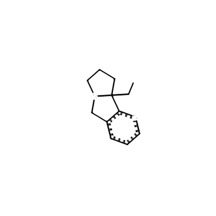 OCC12CCCN1Cc1cccnc12